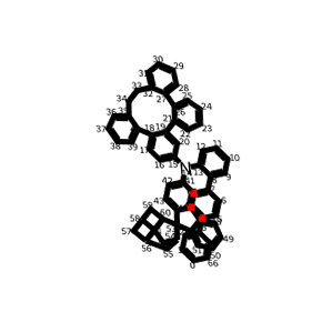 c1ccc(-c2ccc(-c3ccccc3N(c3ccc4c(c3)-c3ccccc3-c3ccccc3CCc3ccccc3-4)c3ccc4c(c3)-c3ccccc3C43C4CC5CC6CC3C56C4)cc2)cc1